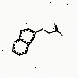 O=C(O)COc1ccc2ncccc2c1